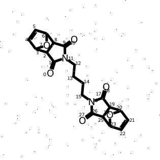 O=C1C2C3C=CC(O3)C2C(=O)N1CCCCN1C(=O)C2C3C=CC(O3)C2C1=O